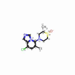 CCc1cc(Cl)c2cncn2c1N1CC[S+]([O-])[C@@H](C)C1